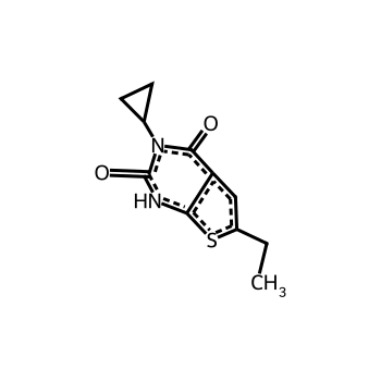 CCc1cc2c(=O)n(C3CC3)c(=O)[nH]c2s1